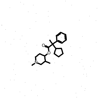 CC1CN(C)CCC1OC(=O)C(C)(c1ccccc1)C1CCCC1